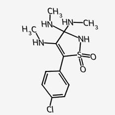 CNC1=C(c2ccc(Cl)cc2)S(=O)(=O)NC1(NC)NC